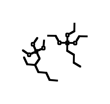 CCCCC(CC)C[Si](OC)(OC)OC.CCCC[Si](OCC)(OCC)OCC